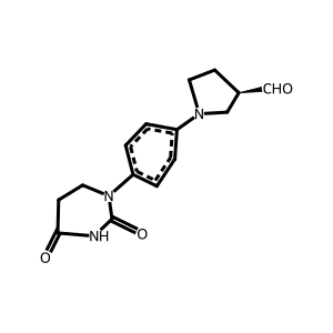 O=C[C@@H]1CCN(c2ccc(N3CCC(=O)NC3=O)cc2)C1